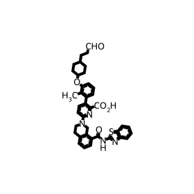 Cc1c(OC2CCC(CCC=O)CC2)cccc1-c1ccc(N2CCc3cccc(C(=O)Nc4nc5ccccc5s4)c3C2)nc1C(=O)O